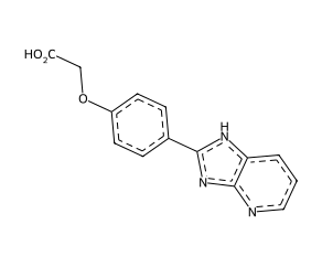 O=C(O)COc1ccc(-c2nc3ncccc3[nH]2)cc1